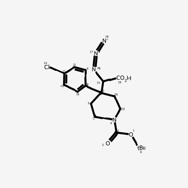 CC(C)(C)OC(=O)N1CCC(c2ccc(Cl)cc2)(C(N=[N+]=[N-])C(=O)O)CC1